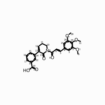 COc1cc(C=CC(=O)N2CCC=C(c3cccc(C(=O)O)c3)C2=O)cc(OC)c1OC